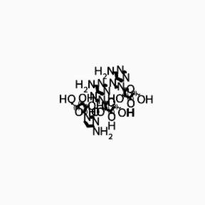 Nc1ccn([C@@H]2O[C@H](CO)[C@@H](O)[C@H]2O)c(=O)n1.Nc1ncnc2c1ncn2[C@@H]1O[C@H](CO)[C@@H](O)[C@H]1O.Nc1ncnc2c1ncn2[C@@H]1O[C@H](CO)[C@@H](O)[C@H]1O